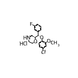 COc1cc(Cl)ccc1O[C@@H](c1cccc(F)c1)[C@@H]1CNCCO1.Cl